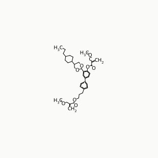 C=C(COC)C(=O)OCCCc1ccc(-c2ccc(OC(=O)C(=C)COC)c(C3OCC(C4CCC(CCC)CC4)CO3)c2)cc1